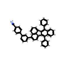 N#Cc1ccc(-c2cccc(-c3ccc4c5c(cccc35)-c3c-4c(-c4ccccc4)c4ccccc4c3-c3ccccc3)c2)cc1